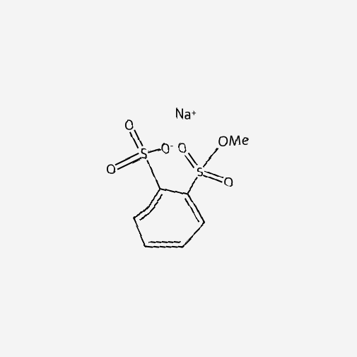 COS(=O)(=O)c1ccccc1S(=O)(=O)[O-].[Na+]